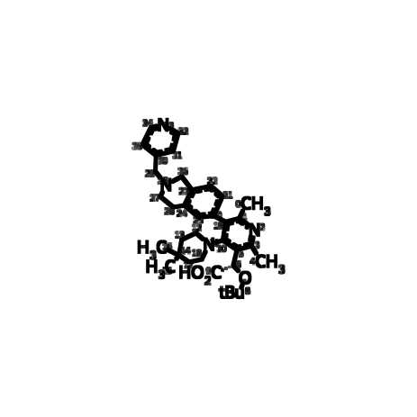 Cc1nc(C)c([C@H](OC(C)(C)C)C(=O)O)c(N2CCC(C)(C)CC2)c1-c1ccc2c(c1)CCN(Cc1ccncc1)C2